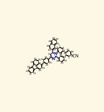 N#Cc1ccc(-c2ccc(-c3c(-c4cc(-c5ccc(-c6ccc7c8c(cccc68)-c6ccccc6-7)cc5)nc(-c5ccccc5)n4)ccc4ccccc34)cc2)cc1